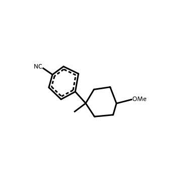 COC1CCC(C)(c2ccc(C#N)cc2)CC1